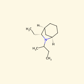 CCC(C)N1[C@@H]2CCC[C@@H](C2)[C@H]1CC